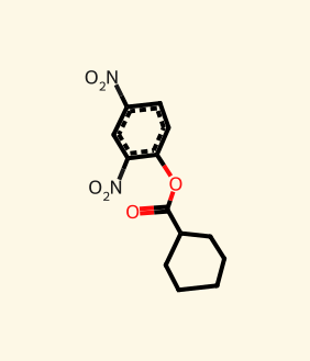 O=C(Oc1ccc([N+](=O)[O-])cc1[N+](=O)[O-])C1CCCCC1